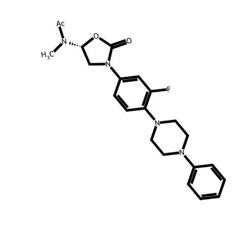 CC(=O)N(C)[C@H]1CN(c2ccc(N3CCN(c4ccccc4)CC3)c(F)c2)C(=O)O1